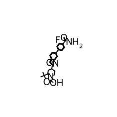 CC(C)(C)C1CC(c2nc3cc(-c4ccc(C(N)=O)c(F)c4)ccc3o2)CCN1C(=O)O